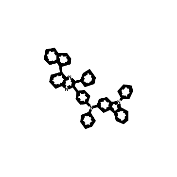 c1ccc(-c2nc3c(-c4cccc5ccccc45)cccc3nc2-c2ccc(N(c3ccccc3)c3ccc4c(c3)c3ccccc3n4-c3ccccc3)cc2)cc1